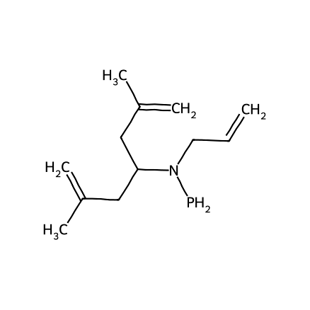 C=CCN(P)C(CC(=C)C)CC(=C)C